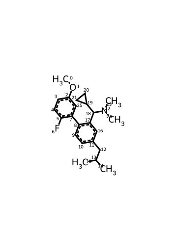 COc1ccc(F)c(-c2ccc(CC(C)C)cc2C(C2CC2)N(C)C)c1